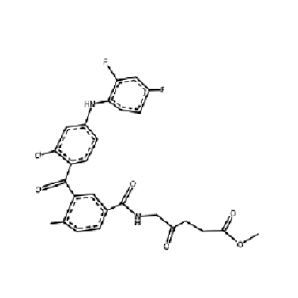 COC(=O)CCC(=O)CNC(=O)c1ccc(C)c(C(=O)c2ccc(Nc3ccc(F)cc3F)cc2Cl)c1